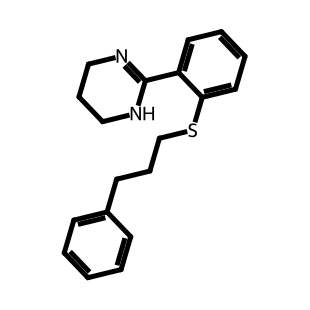 c1ccc(CCCSc2ccccc2C2=NCCCN2)cc1